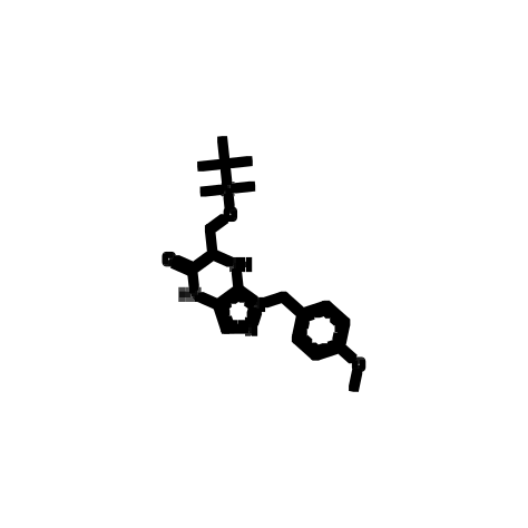 COc1ccc(Cn2ncc3c2NC(CO[Si](C)(C)C(C)(C)C)C(=O)N3)cc1